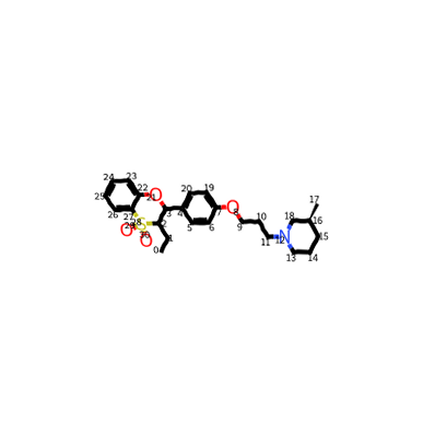 CCC1C(c2ccc(OCCCN3CCC[C@H](C)C3)cc2)Oc2ccccc2S1(=O)=O